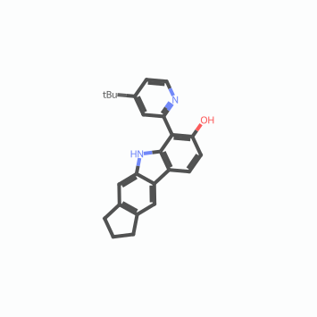 CC(C)(C)c1ccnc(-c2c(O)ccc3c2[nH]c2cc4c(cc23)CCC4)c1